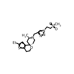 CCc1cc2c(s1)CCO[C@@]21CCN(Cc2cn(CCS(C)(=O)=O)nn2)[C@H](C)C1